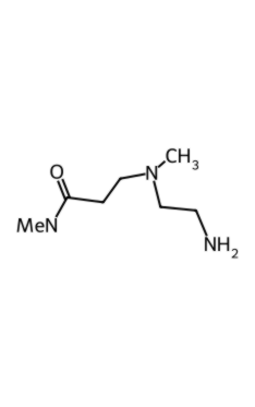 CNC(=O)CCN(C)CCN